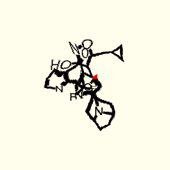 O=C(O)c1ccc(N2C3CCC2CC(OCc2c(-c4cccnc4C(F)(F)F)noc2C2CC2)C3)nc1